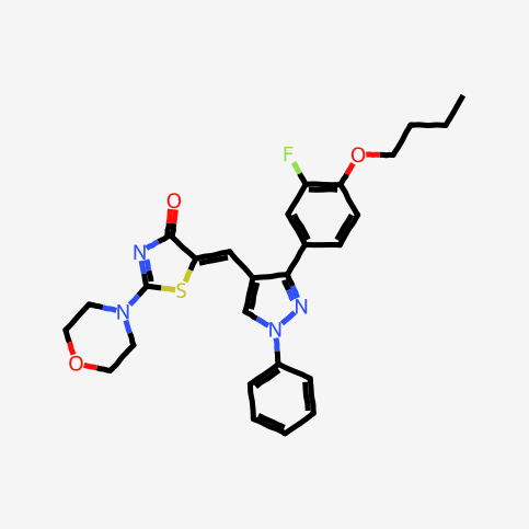 CCCCOc1ccc(-c2nn(-c3ccccc3)cc2/C=C2\SC(N3CCOCC3)=NC2=O)cc1F